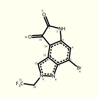 O=C1Nc2cc(Br)c3nn(CC(F)(F)F)cc3c2C1=O